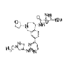 Cn1cc(Nc2nccc(-c3ccc4c(c3)CN([C@@H]3CCOC3)CC[C@@H]4NC(=O)c3nnc(C(C)(C)C)o3)n2)cn1